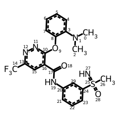 CN(C)c1ccccc1Oc1nnc(C(F)(F)F)cc1C(=O)Nc1cccc(S(C)(=N)=O)c1